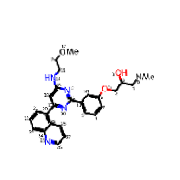 CNCC(O)COc1cccc(-c2nc(NCCOC)cc(-c3cccc4ncccc34)n2)c1